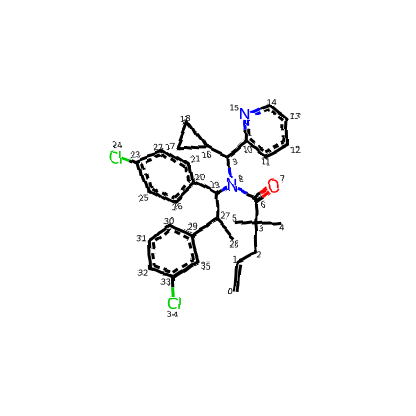 C=CCC(C)(C)C(=O)N(C(c1ccccn1)C1CC1)C(c1ccc(Cl)cc1)C(C)c1cccc(Cl)c1